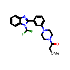 COCC(=O)N1CCN(c2cccc(-c3nc4ccccc4n3C(F)F)c2)CC1